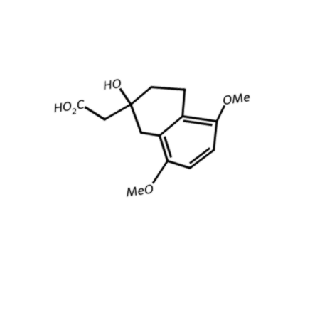 COc1ccc(OC)c2c1CCC(O)(CC(=O)O)C2